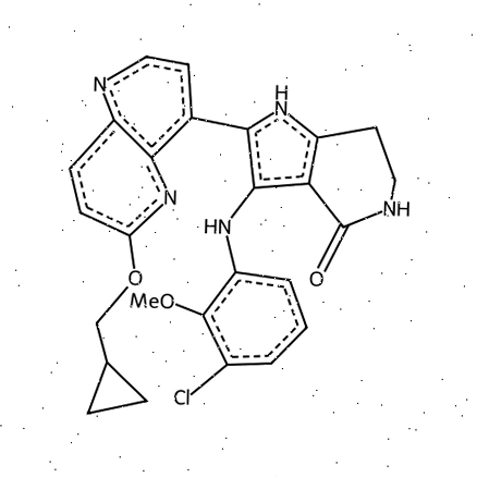 COc1c(Cl)cccc1Nc1c(-c2ccnc3ccc(OCC4CC4)nc23)[nH]c2c1C(=O)NCC2